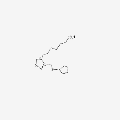 O=C(O)CCCCCC[C@H]1CSC[C@H]1CSC1CCCC1